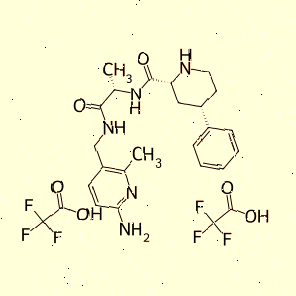 Cc1nc(N)ccc1CNC(=O)[C@H](C)NC(=O)[C@H]1C[C@@H](c2ccccc2)CCN1.O=C(O)C(F)(F)F.O=C(O)C(F)(F)F